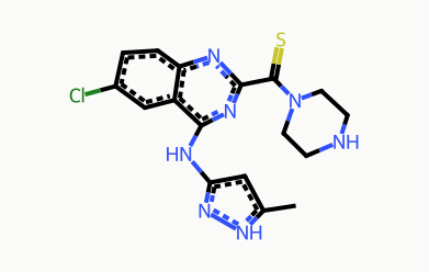 Cc1cc(Nc2nc(C(=S)N3CCNCC3)nc3ccc(Cl)cc23)n[nH]1